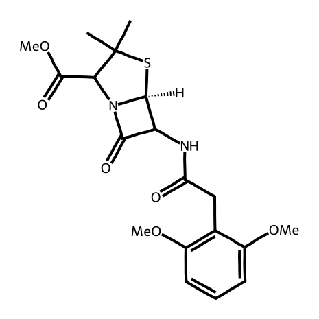 COC(=O)C1N2C(=O)C(NC(=O)Cc3c(OC)cccc3OC)[C@@H]2SC1(C)C